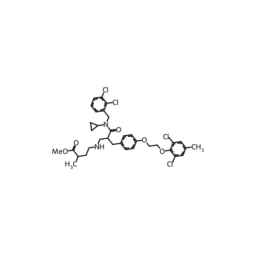 COC(=O)C(C)CCNCC(Cc1ccc(OCCOc2c(Cl)cc(C)cc2Cl)cc1)C(=O)N(Cc1cccc(Cl)c1Cl)C1CC1